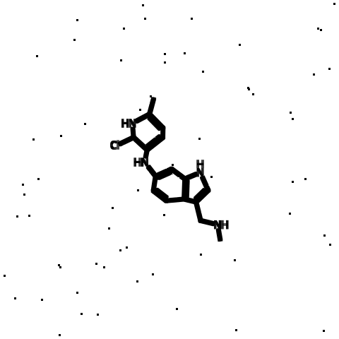 CNCc1c[nH]c2cc(NC3=CC=C(C)NC3Cl)ccc12